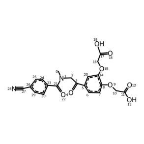 CN(CC(=O)c1ccc(OCC(=O)O)c(OCC(=O)O)c1)C(=O)c1ccc(C#N)cc1